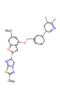 COc1cc(OCc2cccc(-c3cnc(C)c(C)c3)c2)c2cc(-c3cn4nc(OC)sc4n3)oc2c1